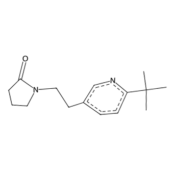 CC(C)(C)c1ccc(CCN2CCCC2=O)cn1